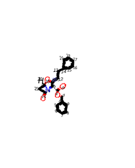 O=C(OCc1ccccc1)[C@H]1/C(=C/Cc2ccccc2)O[C@@H]2CC(=O)N21